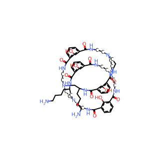 NCCCCC1CN2CCNC(=O)c3cccc(c3O)C(=O)NCCN(CCNC(=O)c3cccc(c3O)C(=O)N1)CCN1CCNC(=O)c3cccc(c3O)C(=O)NCCN(CC2)CC(CCCCN)NC(=O)c2cccc(c2O)C(=O)NCC1